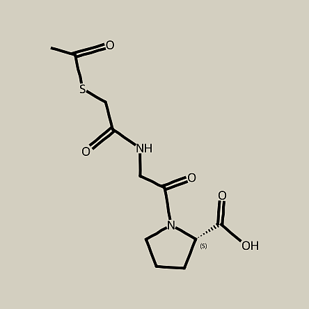 CC(=O)SCC(=O)NCC(=O)N1CCC[C@H]1C(=O)O